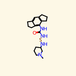 CN1CCCC(NSNC(=O)Nc2c3c(cc4c2CCC4)CCC3)C1